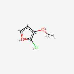 COc1ccoc1Cl